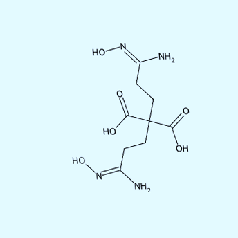 N/C(CCC(CC/C(N)=N\O)(C(=O)O)C(=O)O)=N/O